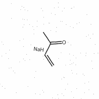 C=CC(C)=O.[NaH]